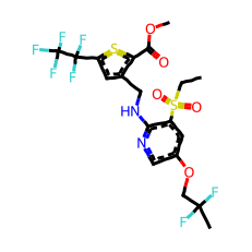 CCS(=O)(=O)c1cc(OCC(C)(F)F)cnc1NCc1cc(C(F)(F)C(F)(F)F)sc1C(=O)OC